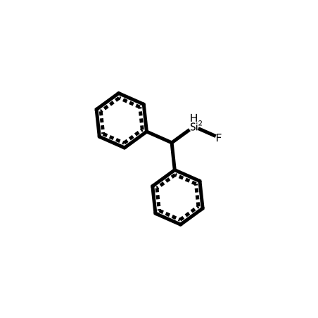 F[SiH2]C(c1ccccc1)c1ccccc1